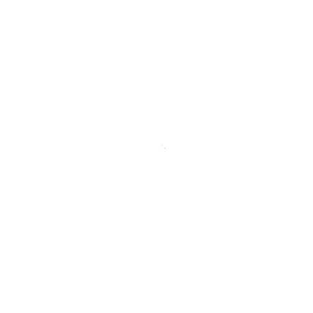 C=CCC(C)N1CCOCC1